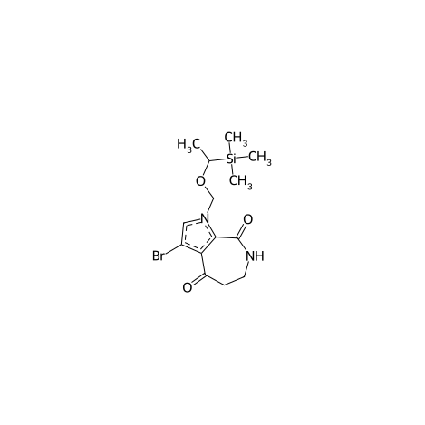 CC(OCn1cc(Br)c2c1C(=O)NCCC2=O)[Si](C)(C)C